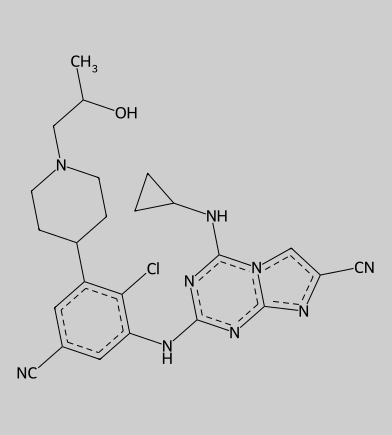 CC(O)CN1CCC(c2cc(C#N)cc(Nc3nc(NC4CC4)n4cc(C#N)nc4n3)c2Cl)CC1